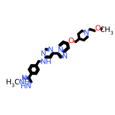 CN/N=C(\C=N)c1ccc(CNc2cc(-c3cnc4cc(OCC5CCN(CCOC)CC5)ccn34)ncn2)cc1